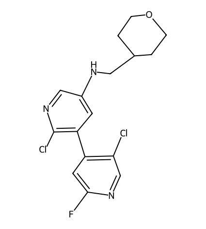 Fc1cc(-c2cc(NCC3CCOCC3)cnc2Cl)c(Cl)cn1